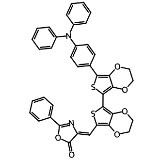 O=C1OC(c2ccccc2)=N/C1=C\c1sc(-c2sc(-c3ccc(N(c4ccccc4)c4ccccc4)cc3)c3c2OCCO3)c2c1OCCO2